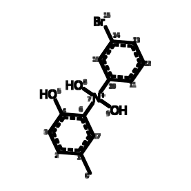 Cc1ccc(O)c([N+](O)(O)c2cccc(Br)c2)c1